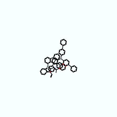 C=Cc1c(/C=C(\C)c2ccccc2-c2ccccc2N(c2ccc(-c3ccccc3)cc2)c2ccc(-c3ccccc3)cc2)n(-c2cccc3c2C(c2ccccc2)(c2ccccc2)c2ccccc2-3)c2ccccc12